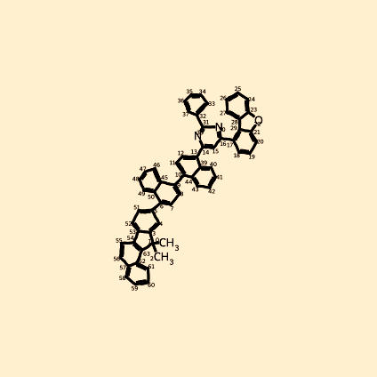 CC1(C)c2cc(-c3ccc(-c4ccc(-c5cc(-c6cccc7oc8ccccc8c67)nc(-c6ccccc6)n5)c5ccccc45)c4ccccc34)ccc2-c2ccc3ccccc3c21